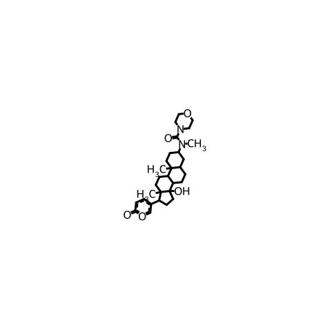 CN(C(=O)N1CCOCC1)C1CCC2(C)C(CCC3C2CCC2(C)C(c4ccc(=O)oc4)CCC32O)C1